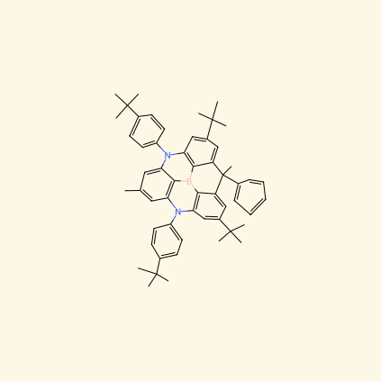 Cc1cc2c3c(c1)N(c1ccc(C(C)(C)C)cc1)c1cc(C(C)(C)C)cc4c1B3c1c(cc(C(C)(C)C)cc1C4(C)c1ccccc1)N2c1ccc(C(C)(C)C)cc1